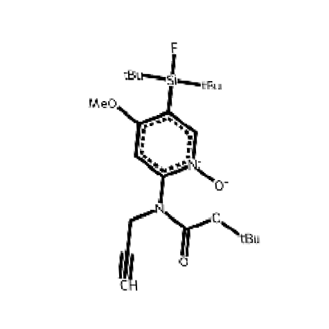 C#CCN(C(=O)OC(C)(C)C)c1cc(OC)c([Si](F)(C(C)(C)C)C(C)(C)C)c[n+]1[O-]